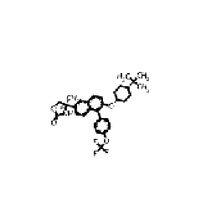 CC(C)(C)[C@H]1CC[C@H](Oc2ccc3cc([C@]4(C)COC(=O)N4)ccc3c2-c2ccc(OC(F)(F)F)cc2)CC1